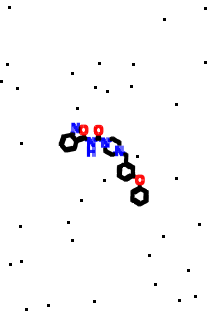 O=C(Nc1onc2ccccc12)N1CCN(Cc2cccc(Oc3ccccc3)c2)CC1